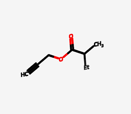 C#CCOC(=O)C(C)C[CH2]